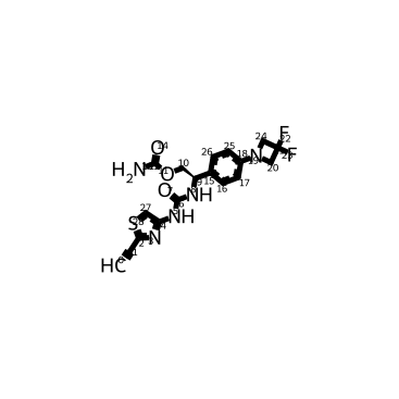 C#Cc1nc(NC(=O)N[C@@H](COC(N)=O)c2ccc(N3CC(F)(F)C3)cc2)cs1